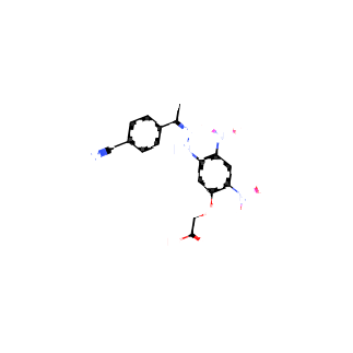 C/C(=N/Nc1cc(OCC(=O)O)c([N+](=O)[O-])cc1[N+](=O)[O-])c1ccc(C#N)cc1